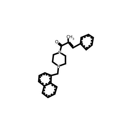 CC(=Cc1ccccc1)C(=O)N1CCN(Cc2cccc3ccccc23)CC1